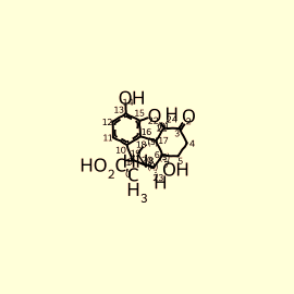 CC(=O)O.O=C1CC[C@@]2(O)[C@H]3Cc4ccc(O)c5c4[C@@]2(CCN3)[C@H]1O5